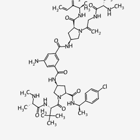 C=CC(=C)[C@@H](C)NC(=O)[C@@H]1C[C@H](NC(=O)c2cc(N)cc(C(=O)N[C@H]3C[C@@H](C(=O)N[C@H](C)c4ccc(Cl)cc4)N(C(=O)[C@@H](NC(=O)[C@H](C)NC)C(C)(C)C)C3)c2)CN1C(=C)CNC(=O)[C@H](C)NC